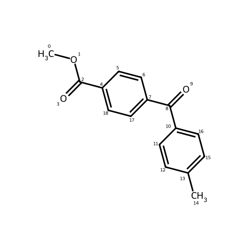 COC(=O)c1ccc(C(=O)c2ccc(C)cc2)cc1